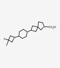 CCOC(=O)N1CCC2(CC(N3CCC(N4CC(F)(F)C4)CC3)C2)C1